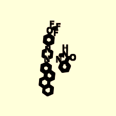 FC(F)(F)Oc1ccc(N2CCN(c3ccc4c5c(ccc4c3)C3=C(CCC=C3)CC5)CC2)cc1.O=c1[nH]cnc2ccccc12